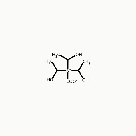 CC(O)[N+](C(=O)[O-])(C(C)O)C(C)O